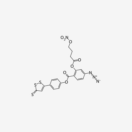 [N-]=[N+]=Nc1ccc(C(=O)Oc2ccc(-c3cc(=S)ss3)cc2)c(OC(=O)CCCO[N+](=O)[O-])c1